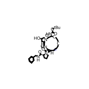 CC(C)(C)OC(=O)N[C@H]1CCCCC/C=C\[C@@H]2C[C@@]2(C(=O)N2CCC[C@H]2C(=O)NCc2ccccc2)NC(=O)[C@@H]2C[C@@H](O)CN2C1=O